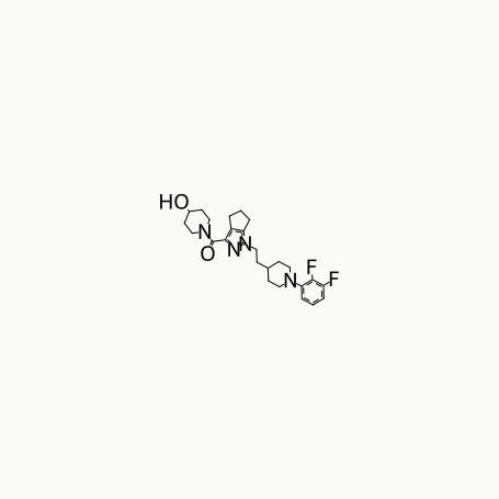 O=C(c1nn(CCC2CCN(c3cccc(F)c3F)CC2)c2c1CCC2)N1CCC(O)CC1